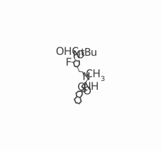 CN(CCCc1ccc(CN(C=O)OC(C)(C)C)c(F)c1)CCNS(=O)(=O)c1ccc2ccccc2c1